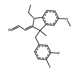 CCN1/C(=C\C=N)C(C)(Cc2ccc(F)c(F)c2)c2cc(OC)ccc21